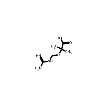 CC(C)(OCNC(=N)N)C(=O)O